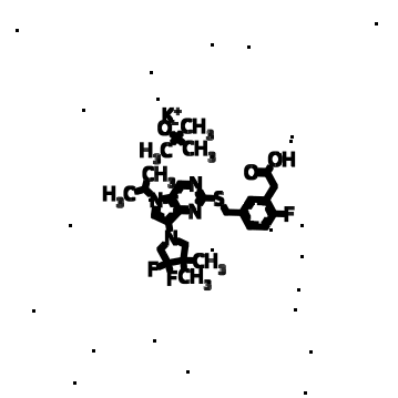 CC(C)(C)[O-].CC(C)n1cc(N2CC(C)(C)C(F)(F)C2)c2nc(SCc3ccc(F)c(CC(=O)O)c3)ncc21.[K+]